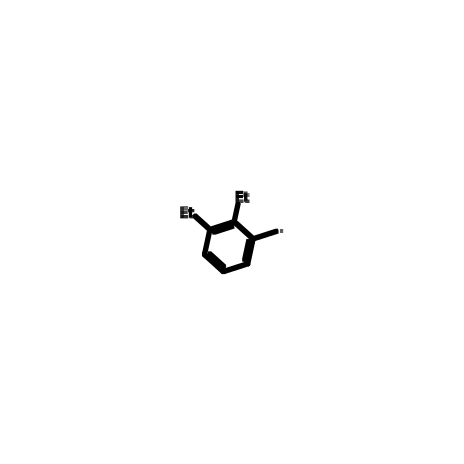 [CH2]c1cccc(CC)c1CC